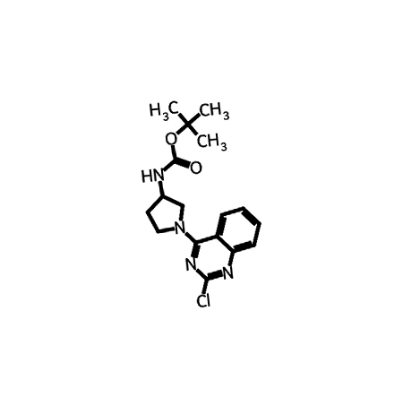 CC(C)(C)OC(=O)NC1CCN(c2nc(Cl)nc3ccccc23)C1